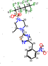 CC1CN(S(=O)(=O)C(F)(F)C(F)(F)C(F)(F)C(F)(F)F)CCN1c1nc(Cc2ccccc2[N+](=O)[O-])ns1